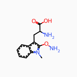 Cn1c(ON)c(CC(N)C(=O)O)c2ccccc21